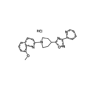 COc1cccc2ccc(N3CCC(c4nc(-c5ccccn5)no4)CC3)nc12.Cl